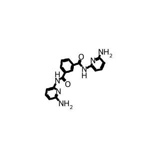 Nc1cccc(NC(=O)c2cccc(C(=O)Nc3cccc(N)n3)c2)n1